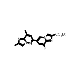 CCOC(=O)c1cn2cc(-c3cc(C)c4nc(C)cn4n3)cc(F)c2n1